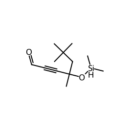 C[SiH](C)OC(C)(C#CC=O)CC(C)(C)C